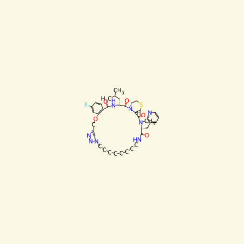 CC(C)C[C@H]1NC(=O)c2ccc(F)cc2OCc2cn(nn2)CCCCCCCCNC(=O)[C@H](Cc2cccnc2)N(C)C(=O)[C@H]2CSCCN2C1=O